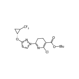 CC(C)(C)OC(=O)C1=C(Cl)N=C(n2ccc(O[C@@H]3CC3C(F)(F)F)n2)CC1